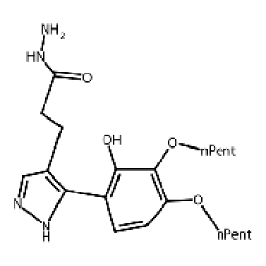 CCCCCOc1ccc(-c2[nH]ncc2CCC(=O)NN)c(O)c1OCCCCC